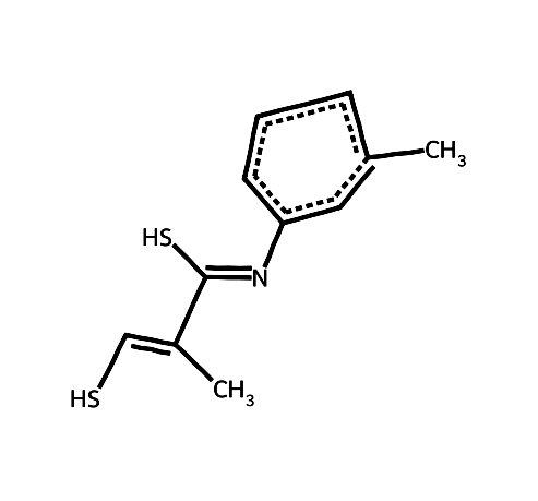 CC(=C\S)/C(S)=N/c1cccc(C)c1